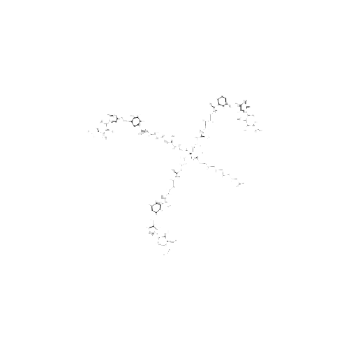 O=C(O)CCCCCCCCCCC(=O)NC(COCCC(=O)NCCCCNC(=O)c1cccc(OCc2cn(C3CO[C@H](CO)[C@H](O)[C@@H]3O)nn2)c1)(COCCC(=O)NCCCCNC(=O)c1cccc(OCc2cn([C@H]3CO[C@H](CO)[C@H](O)[C@@H]3O)nn2)c1)COCCC(=O)NCCCCNC(=O)c1cccc(OCc2cn([C@H]3CO[C@H](CO)[C@H](O)[C@@H]3O)nn2)c1